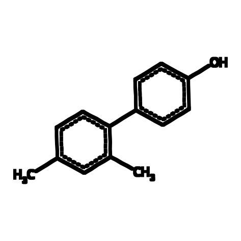 Cc1ccc(-c2ccc(O)cc2)c(C)c1